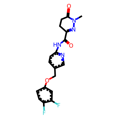 CN1N=C(C(=O)Nc2ccc(COc3ccc(F)c(F)c3)cn2)CCC1=O